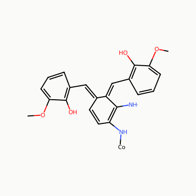 COc1cccc(C=c2ccc([NH][Co])c([NH])c2=Cc2cccc(OC)c2O)c1O